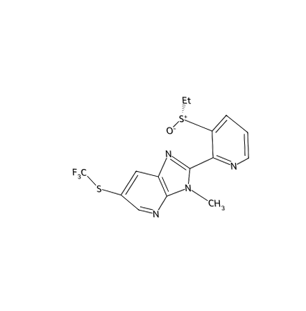 CC[S@@+]([O-])c1cccnc1-c1nc2cc(SC(F)(F)F)cnc2n1C